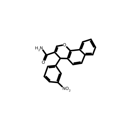 NC(=O)C1=COc2c(ccc3ccccc23)C1c1cccc([N+](=O)[O-])c1